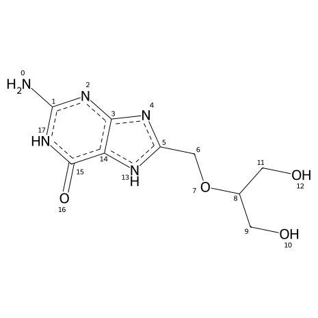 Nc1nc2nc(COC(CO)CO)[nH]c2c(=O)[nH]1